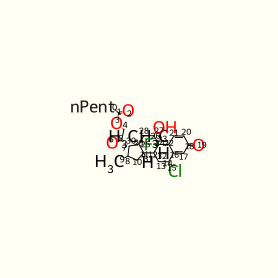 CCCCCC(=O)OCC(=O)[C@H]1C(C)C[C@H]2[C@@H]3CC(Cl)C4=CC(=O)C=C[C@]4(C)[C@@]3(F)C(O)C[C@]12C